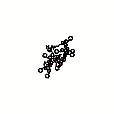 NCCCCCOP(OCc1ccccc1)OCC(OCc1ccccc1)C(OCc1ccccc1)C(COC1OC(COCc2ccccc2)C(OP(OCc2ccccc2)OCC(OCc2ccccc2)C(OCc2ccccc2)C(COC2OC(COCc3ccccc3)C(OCc3ccccc3)C2F)OCc2ccccc2)C1F)OCc1ccccc1